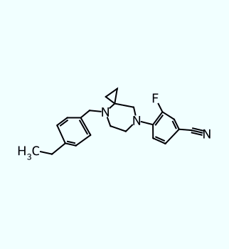 CCc1ccc(CN2CCN(c3ccc(C#N)cc3F)CC23CC3)cc1